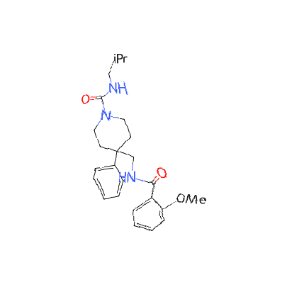 COc1ccccc1C(=O)NCC1(c2ccccc2)CCN(C(=O)NCC(C)C)CC1